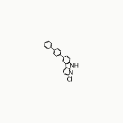 Clc1ccc2c(n1)[nH]c1ccc(-c3ccc(-c4ccccc4)cc3)cc12